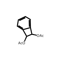 CC(=O)OC1c2ccccc2C1OC(C)=O